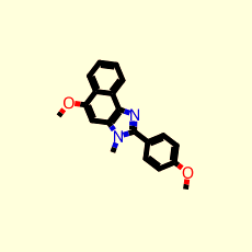 COc1ccc(-c2nc3c4ccccc4c(OC)cc3n2C)cc1